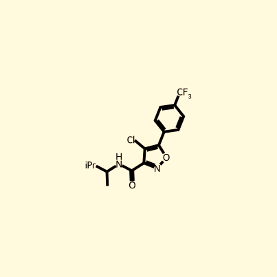 CC(C)C(C)NC(=O)c1noc(-c2ccc(C(F)(F)F)cc2)c1Cl